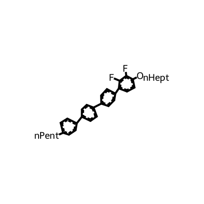 CCCCCCCOc1ccc(-c2ccc(-c3ccc(-c4ccc(CCCCC)cc4)cc3)cc2)c(F)c1F